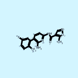 Cc1oncc1C(=O)Nc1ccc(-c2cc(F)ccc2C(F)(F)F)c(N)n1